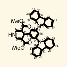 COC(=O)C1=CNC=C(C(=O)OC)C1c1cc(-n2c3ccccc3c3ccccc32)cc(-n2c3ccccc3c3ccccc32)c1